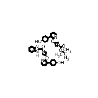 CC(C)(C)OC(=O)N1CC(Oc2ncccc2C2=CCC(O)CC2)C1.O=C(c1nc2ccccc2[nH]1)N1CC(Oc2ncccc2C2=CCC(O)CC2)C1